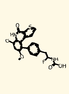 COc1cc(Cl)c2[nH]c(=O)c3sccc3c2c1-c1ccc(CC(F)NC(=O)O)cc1